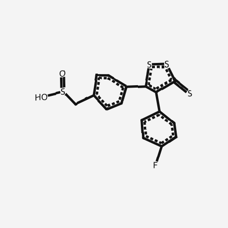 O=S(O)Cc1ccc(-c2ssc(=S)c2-c2ccc(F)cc2)cc1